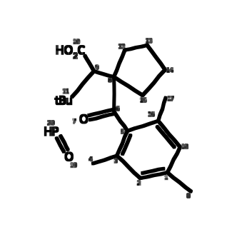 Cc1cc(C)c(C(=O)C2(C(C(=O)O)C(C)(C)C)CCCC2)c(C)c1.O=P